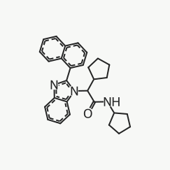 O=C(NC1CCCC1)C(C1CCCC1)n1c(-c2cccc3ccccc23)nc2ccccc21